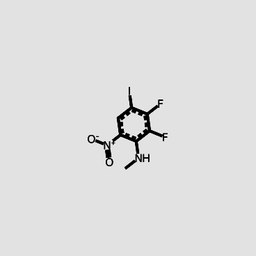 CNc1c([N+](=O)[O-])cc(I)c(F)c1F